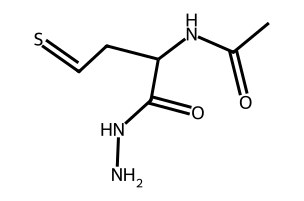 CC(=O)NC(CC=S)C(=O)NN